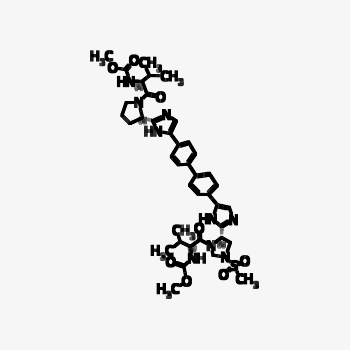 COC(=O)N[C@H](C(=O)N1CCC[C@H]1c1ncc(-c2ccc(-c3ccc(-c4cnc([C@@H]5CN(S(C)(=O)=O)CN5C(=O)[C@@H](NC(=O)OC)C(C)C)[nH]4)cc3)cc2)[nH]1)C(C)C